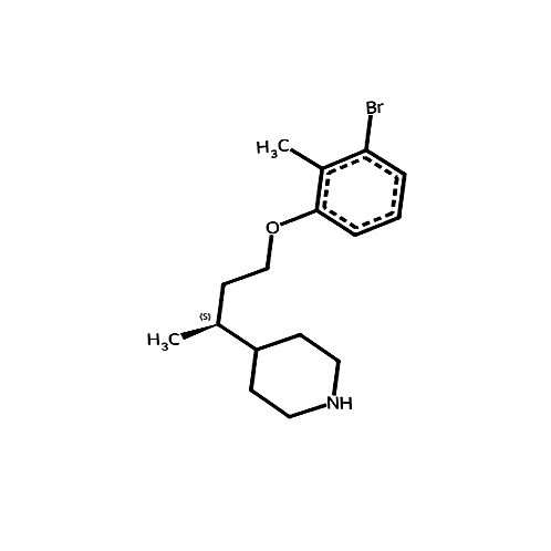 Cc1c(Br)cccc1OCC[C@H](C)C1CCNCC1